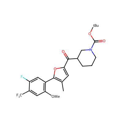 COc1cc(C(F)(F)F)c(F)cc1-c1oc(C(=O)C2CCCN(C(=O)OC(C)(C)C)C2)cc1C